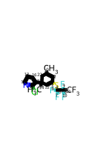 CC1=CC(SC(F)(F)C(F)(F)C(F)(F)F)=CC(C)(c2cccnc2Cl)[CH]1